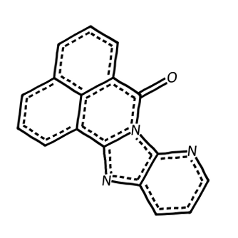 O=c1c2cccc3cccc(c32)c2nc3cccnc3n12